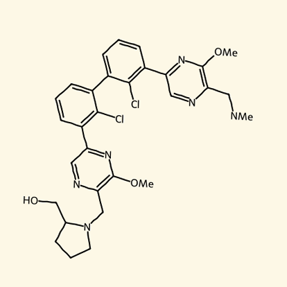 CNCc1ncc(-c2cccc(-c3cccc(-c4cnc(CN5CCCC5CO)c(OC)n4)c3Cl)c2Cl)nc1OC